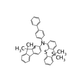 CC1(C)c2ccccc2-c2ccc(N(c3ccc(-c4ccccc4)cc3)c3cccc4c3Sc3ccccc3[Si]4(C)C)cc21